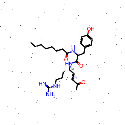 CCCCCCCC(=O)NC(Cc1ccc(O)cc1)C(=O)N[C@H](/C=C/C(C)=O)CCCNC(=N)N